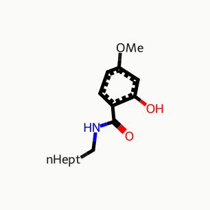 CCCCCCCCNC(=O)c1ccc(OC)cc1O